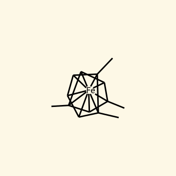 C[C]12[CH]3[CH]4[C]5(C)[CH]1[Fe]34251678[CH]2[CH]1[C]6(C)[C]7(C)[CH]28